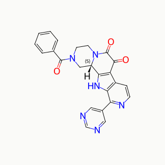 O=C1C(=O)N2CCN(C(=O)c3ccccc3)C[C@H]2c2[nH]c3c(-c4cncnc4)nccc3c21